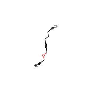 C#CCCCC#CCOCC#C